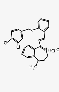 CN1CCN=C(/C=C/c2ccccc2SCc2ccc(Cl)c(Cl)c2)c2ccccc21.Cl.Cl